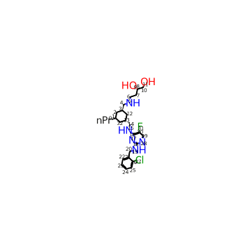 CCCC1C[C@@H](CNCCC(O)CO)C[C@H](CNc2nc(NCc3ccccc3Cl)ncc2F)C1